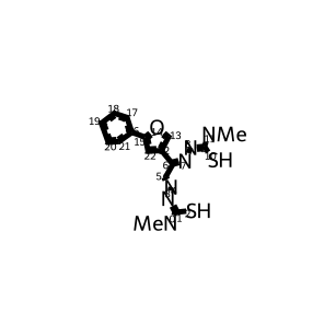 CN/C(S)=N/N=C/C(=N/N=C(\S)NC)c1coc(-c2ccccc2)c1